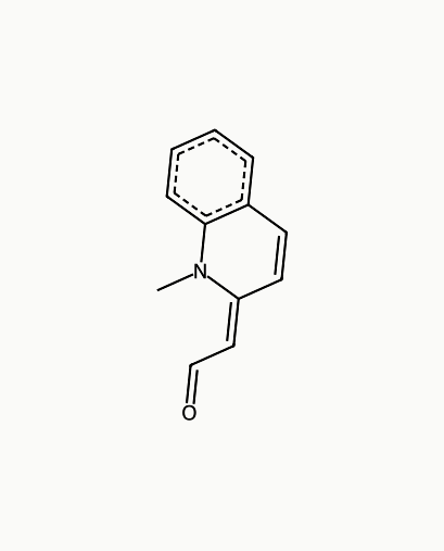 CN1C(=CC=O)C=Cc2ccccc21